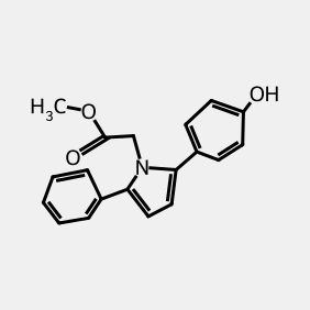 COC(=O)Cn1c(-c2ccccc2)ccc1-c1ccc(O)cc1